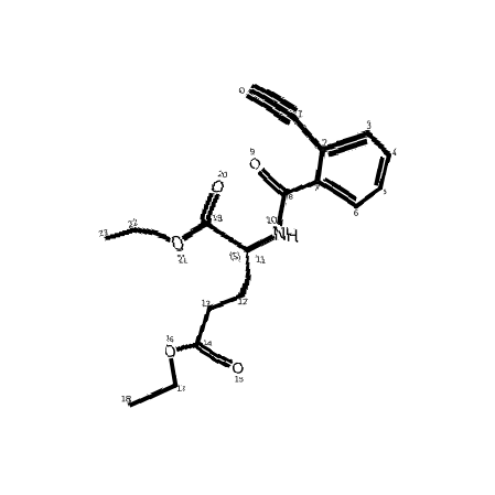 C#Cc1ccccc1C(=O)N[C@@H](CCC(=O)OCC)C(=O)OCC